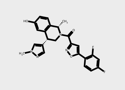 C[C@H]1c2ccc(O)cc2[C@@H](c2cnn(C)c2)CN1C(=O)c1cc(-c2ccc(F)cc2F)on1